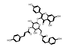 O=C(/C=C\c1ccc(O)cc1)OCC1O[C@@H](Oc2c(-c3ccc(O)cc3)oc3cc(O)cc(O)c3c2=O)C(O)[C@H](OC(=O)/C=C/c2ccc(O)cc2)[C@@H]1O